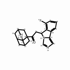 O=C(CC1c2c(F)cccc2-c2cncn21)C12CC3CC(C1)NC(C3)C2